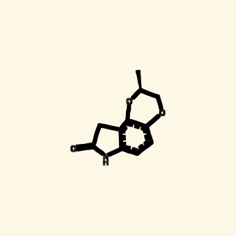 C[C@H]1COc2ccc3c(c2O1)CC(=O)N3